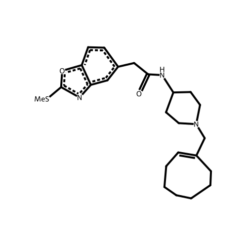 CSc1nc2cc(CC(=O)NC3CCN(CC4=CCCCCCC4)CC3)ccc2o1